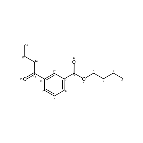 CCCCOC(=O)c1cccc(C(=O)CCC)c1